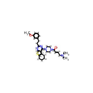 COc1cccc(CCc2nc(N3CCN(C(=O)/C=C/CN(C)C)CC3)c3c4c(sc3n2)CCCC4)c1